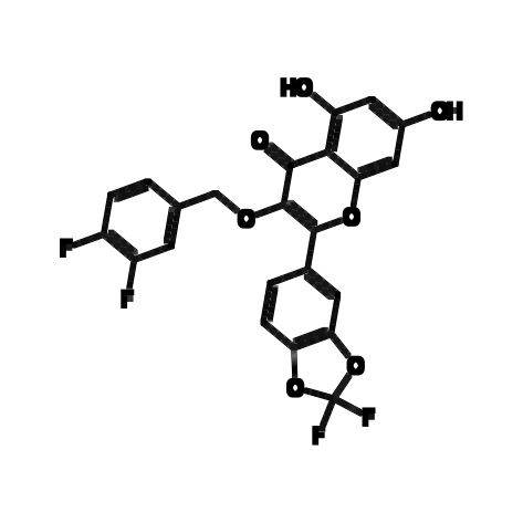 O=c1c(OCc2ccc(F)c(F)c2)c(-c2ccc3c(c2)OC(F)(F)O3)oc2cc(O)cc(O)c12